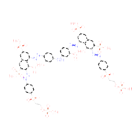 O=S(=O)(O)OCCS(=O)(=O)c1ccc(/N=N/c2c(S(=O)(=O)O)cc3cc(S(=O)(=O)O)cc(/N=N/c4ccc(Nc5ccc(/N=N/c6cc(S(=O)(=O)O)cc7cc(S(=O)(=O)O)c(/N=N/c8ccc(S(=O)(=O)CCOS(=O)(=O)O)cc8)c(O)c67)c(O)c5)cc4O)c3c2O)cc1